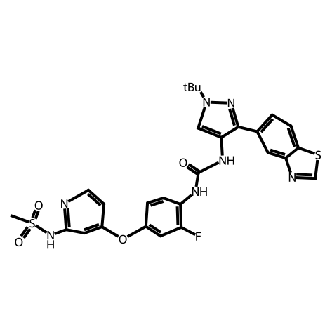 CC(C)(C)n1cc(NC(=O)Nc2ccc(Oc3ccnc(NS(C)(=O)=O)c3)cc2F)c(-c2ccc3scnc3c2)n1